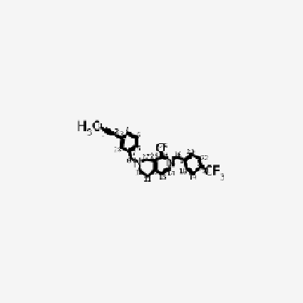 CC#Cc1cccc(CN2CCc3ccn(Cc4ccc(C(F)(F)F)cc4)c(=O)c3C2)c1